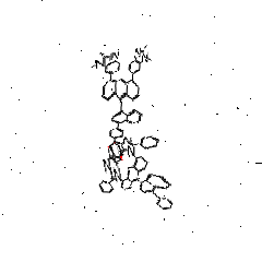 Cc1nc2ccc(-c3cccc4c(-c5ccc(-c6ccc(-c7ccc8c(c7)nc(-c7ccccc7)n8-c7cccc8c(-c9ccc(-c%10ccccc%10)c%10ccccc9%10)c9cccc(-n%10c(-c%11ccccc%11)nc%11ccccc%11%10)c9cc78)cc6)c6ccccc56)c5cccc(-c6ccc7nc(C)n(C)c7c6)c5cc34)cc2n1C